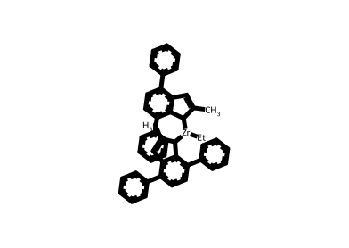 C[CH2][Zr]([CH]1C(C)=Cc2c(-c3ccccc3)ccc(-c3ccccc3)c21)[CH]1C(C)=Cc2c(-c3ccccc3)ccc(-c3ccccc3)c21